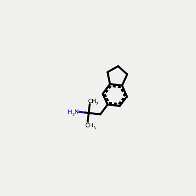 CC(C)(N)Cc1ccc2c(c1)CCC2